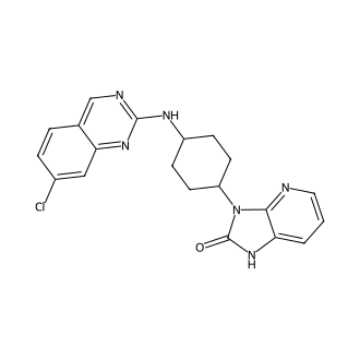 O=c1[nH]c2cccnc2n1C1CCC(Nc2ncc3ccc(Cl)cc3n2)CC1